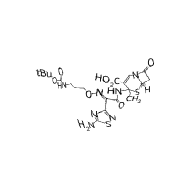 CC(C)(C)OC(=O)NCCCON=C(C(=O)NC1(C)S[C@@H]2CC(=O)N2C=C1C(=O)O)c1nsc(N)n1